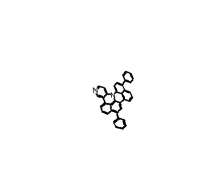 c1ccc(-c2ccc3c4c(cccc24)-c2cc(-c4ccccc4)c4cccc5c4c2N3c2ccncc2-5)cc1